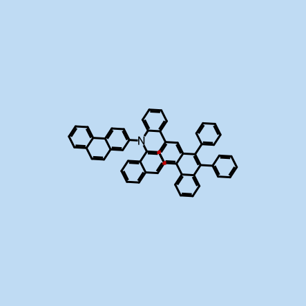 c1ccc(-c2c(-c3ccccc3)c3cc(-c4ccccc4N(c4ccc5c(ccc6ccccc65)c4)c4cccc5ccccc45)ccc3c3ccccc23)cc1